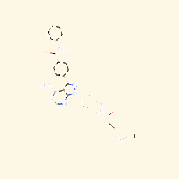 CN(C)CC=CC(=O)N1CC2CC(n3nc(-c4ccc(C(=O)Nc5ccccc5)cc4)c4c(N)ncnc43)CC2C1